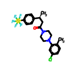 Cc1ccc(Cl)cc1N1CCN(C(=O)C[C@@H](C)c2ccc(S(F)(F)(F)(F)F)cc2)CC1